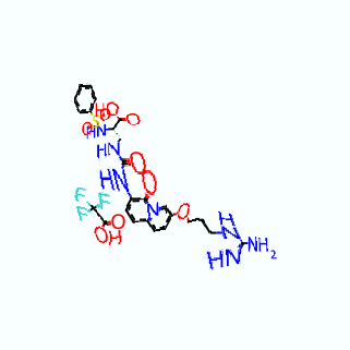 N=C(N)NCCCOc1ccc2ccc(NC(=O)NC[C@H](NS(=O)(=O)c3ccccc3)C(=O)O)c(=O)n2c1.O=C(O)C(F)(F)F